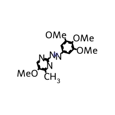 COc1cnc(/N=N/c2cc(OC)c(OC)c(OC)c2)nc1C